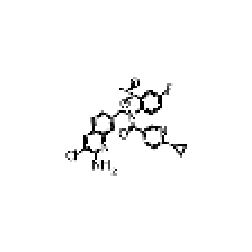 CS(=O)(=O)c1cc(F)ccc1N(Cc1ccc2cc(Cl)c(N)nc2c1)C(=O)c1ccc(C2CC2)nc1